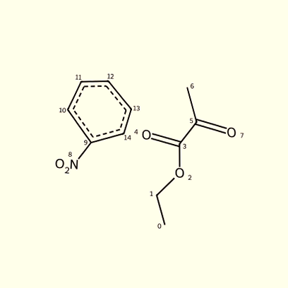 CCOC(=O)C(C)=O.O=[N+]([O-])c1ccccc1